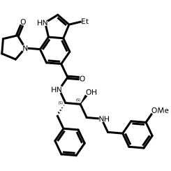 CCc1c[nH]c2c(N3CCCC3=O)cc(C(=O)N[C@@H](Cc3ccccc3)[C@@H](O)CNCc3cccc(OC)c3)cc12